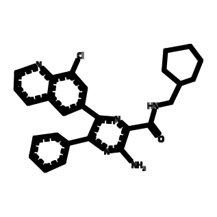 Nc1nc(-c2ccccc2)c(-c2cc(Cl)c3ncccc3c2)nc1C(=O)NCC1CCCCC1